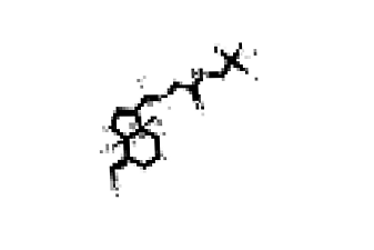 C[C@H](OCC(=O)NCC(F)(F)C(F)(F)F)C1=CC[C@H]2C(=CBr)CCC[C@@]12C